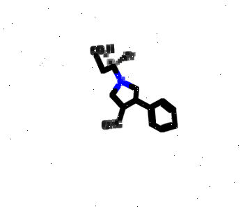 CC(C)[C@@H](CC(=O)O)N1CC(C=O)C(c2ccccc2)C1